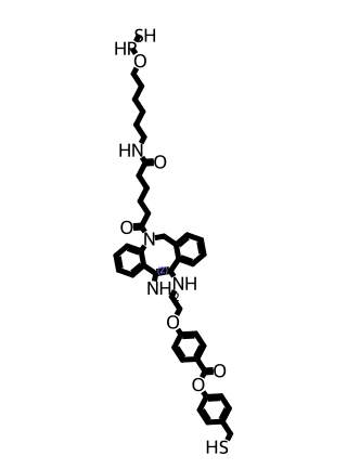 N/C1=C(\NCCOc2ccc(C(=O)Oc3ccc(CS)cc3)cc2)c2ccccc2CN(C(=O)CCCCC(=O)NCCCCCCOPS)c2ccccc21